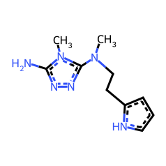 CN(CCc1ccc[nH]1)c1nnc(N)n1C